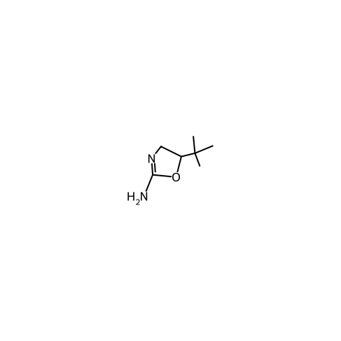 CC(C)(C)C1CN=C(N)O1